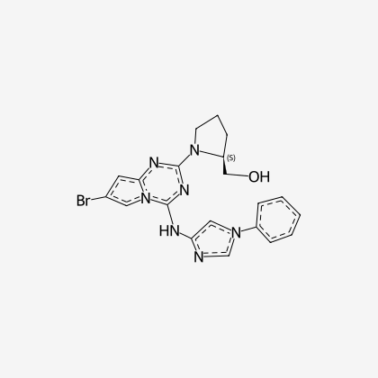 OC[C@@H]1CCCN1c1nc(Nc2cn(-c3ccccc3)cn2)n2cc(Br)cc2n1